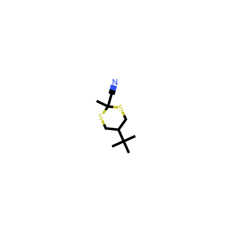 CC1(C#N)SCC(C(C)(C)C)CS1